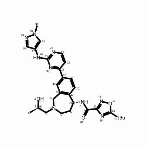 C[C@@H](O)CN1CC[C@@H](NC(=O)c2noc(C(C)(C)C)n2)c2ccc(-c3ccnc(Nc4cnn(C)c4)n3)cc2C1